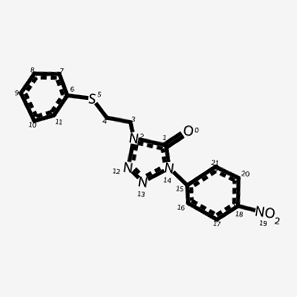 O=c1n(CCSc2ccccc2)nnn1-c1ccc([N+](=O)[O-])cc1